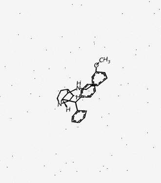 COc1cccc(CN[C@@H]2C3CCN(CC3)[C@H]2C(c2ccccc2)c2ccccc2)c1